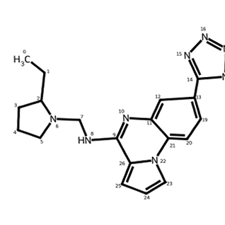 CCC1CCCN1CNc1nc2cc(-c3nnn[nH]3)ccc2n2cccc12